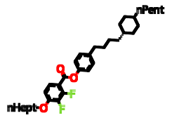 CCCCCCCOc1ccc(C(=O)Oc2ccc(CCCC[C@H]3CC[C@H](CCCCC)CC3)cc2)c(F)c1F